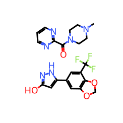 CN1CCN(C(=O)c2ncccn2)CC1.Oc1cc(-c2cc3c(c(C(F)(F)F)c2)OCO3)[nH]n1